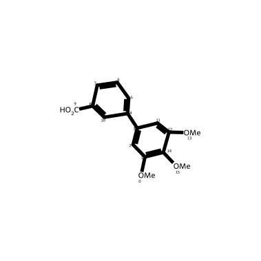 COc1cc(-c2cccc(C(=O)O)c2)cc(OC)c1OC